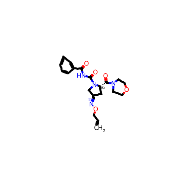 C=CCO/N=C1\C[C@@H](C(=O)N2CCOCC2)N(C(=O)NC(=O)c2ccccc2)C1